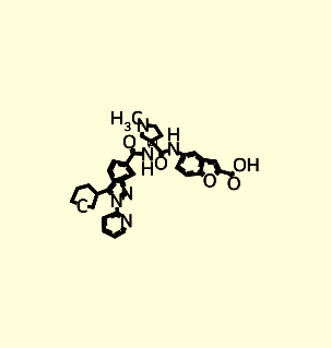 CN1CC[C@@](NC(=O)c2ccc3c(C4CCCCC4)n(-c4ccccn4)nc3c2)(C(=O)Nc2ccc3oc(C(=O)O)cc3c2)C1